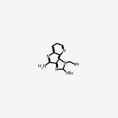 CCCCC1N=c2c(N)nc3c(c2N1CC(C)C)N=CCC=3